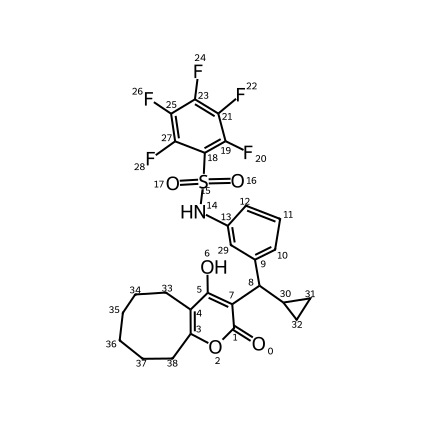 O=c1oc2c(c(O)c1C(c1cccc(NS(=O)(=O)c3c(F)c(F)c(F)c(F)c3F)c1)C1CC1)CCCCCC2